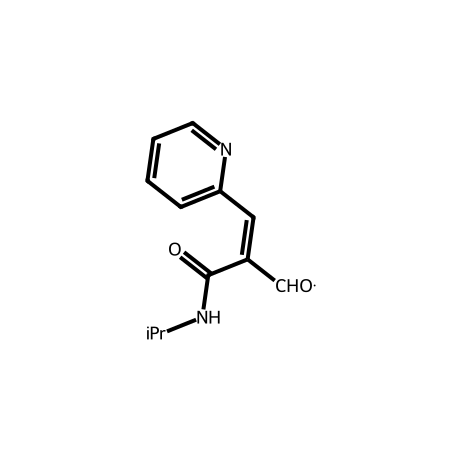 CC(C)NC(=O)C([C]=O)=Cc1ccccn1